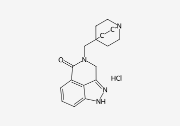 Cl.O=C1c2cccc3[nH]nc(c23)CN1CC12CCN(CC1)CC2